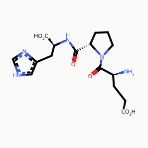 N[C@@H](CCC(=O)O)C(=O)N1CCC[C@H]1C(=O)N[C@@H](Cc1c[nH]cn1)C(=O)O